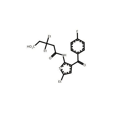 CCc1cc(C(=O)c2ccc(F)cc2)c(NC(=O)CC(CC)(CC)CC(=O)O)s1